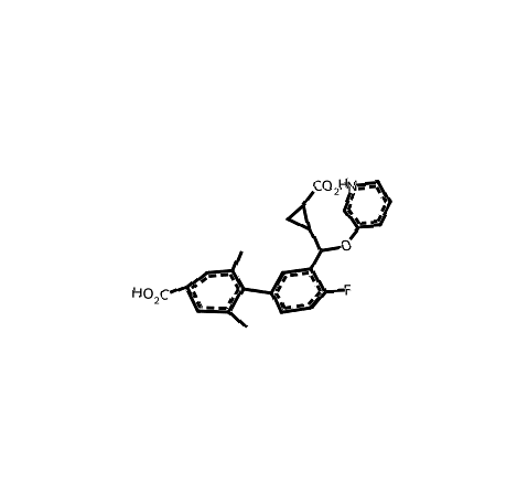 Cc1cc(C(=O)O)cc(C)c1-c1ccc(F)c(C(Oc2cccnc2)C2CC2C(=O)O)c1